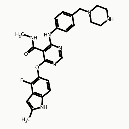 CNC(=O)c1c(Nc2ccc(CN3CCNCC3)cc2)ncnc1Oc1ccc2[nH]c(C)cc2c1F